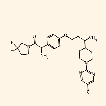 CC(CCOc1ccc(C(N)C(=O)N2CCC(F)(F)C2)cc1)C1CCN(c2ncc(Cl)cn2)CC1